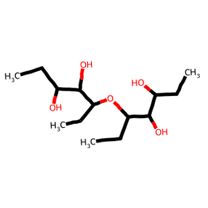 CCC(O)C(O)C(CC)OC(CC)C(O)C(O)CC